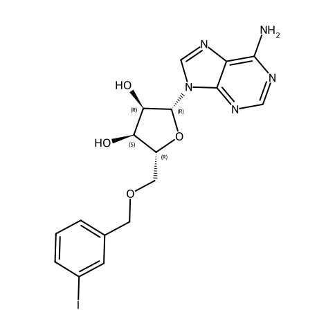 Nc1ncnc2c1ncn2[C@@H]1O[C@H](COCc2cccc(I)c2)[C@@H](O)[C@H]1O